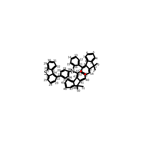 CC1(C)c2ccccc2-c2c(-c3ccccc3N(c3ccc(-c4cccc5sc6ccccc6c45)cc3)c3cccc4c3-c3ccccc3C4(C)C)cccc21